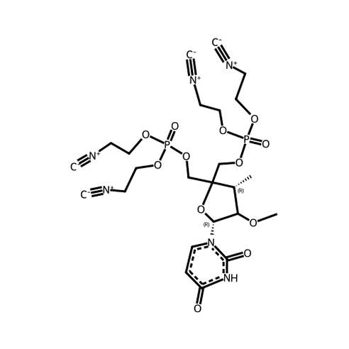 [C-]#[N+]CCOP(=O)(OCC[N+]#[C-])OCC1(COP(=O)(OCC[N+]#[C-])OCC[N+]#[C-])O[C@@H](n2ccc(=O)[nH]c2=O)C(OC)[C@H]1C